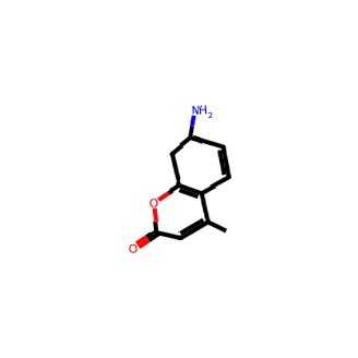 Cc1cc(=O)oc2c1C=CC(N)C2